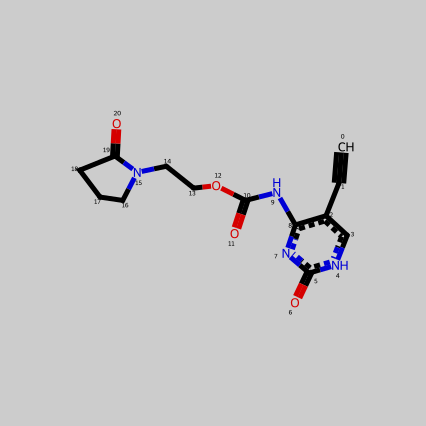 C#Cc1c[nH]c(=O)nc1NC(=O)OCCN1CCCC1=O